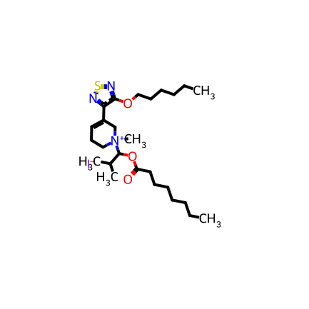 CCCCCCCC(=O)OC(C(C)C)[N+]1(C)CCC=C(c2nsnc2OCCCCCC)C1.[I-]